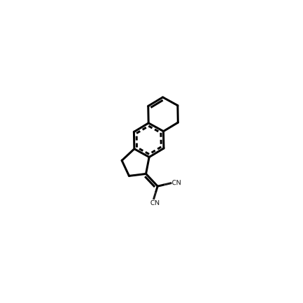 N#CC(C#N)=C1CCc2cc3c(cc21)CCC=C3